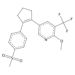 COc1ncc(C2=C(c3ccc(S(C)(=O)=O)cc3)CCC2)cc1C(F)(F)F